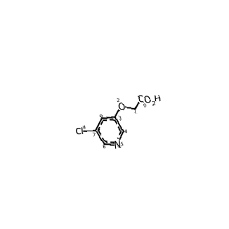 O=C(O)COc1cncc(Cl)c1